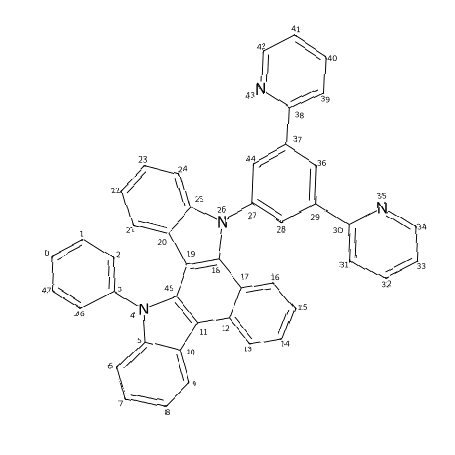 c1ccc(-n2c3ccccc3c3c4ccccc4c4c(c5ccccc5n4-c4cc(-c5ccccn5)cc(-c5ccccn5)c4)c32)cc1